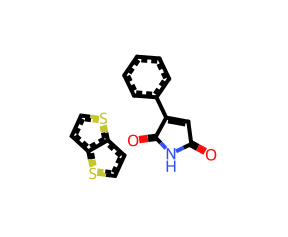 O=C1C=C(c2ccccc2)C(=O)N1.c1cc2sccc2s1